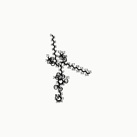 CCCCCCCCCCCCC(CN(CCCC(=O)Oc1c(OC)cc(C(=O)OCCc2ccccn2)cc1OC)CC(CCCCCCCCCCCC)O[Si](C)(C)C(C)(C)C)O[Si](C)(C)C(C)(C)C